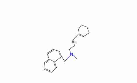 CN(C/C=C/C1=CCCCC1)Cc1cccc2ccccc12